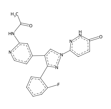 CC(=O)Nc1cc(-c2cn(-c3ccc(=O)[nH]n3)nc2-c2ccccc2F)ccn1